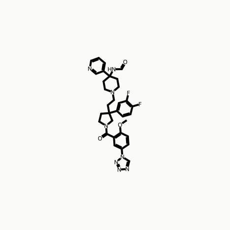 COc1ccc(-n2cnnn2)cc1C(=O)N1CCC(CCN2CCC(NC=O)(c3cccnc3)CC2)(c2ccc(F)c(F)c2)C1